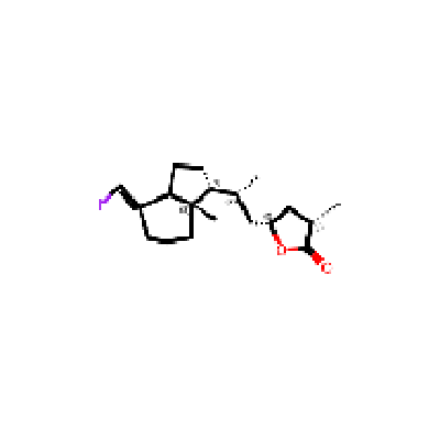 C[C@H](C[C@@H]1C[C@H](C)C(=O)O1)[C@H]1CCC2C(=CI)CCC[C@]21C